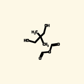 CC(C)(CO)CO.O=COC=O